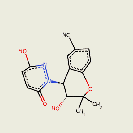 CC1(C)Oc2ccc(C#N)cc2[C@H](n2nc(O)ccc2=O)[C@H]1O